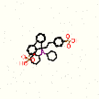 O=S(=O)(O)c1ccc(CCC2(P(C3CCCCC3)C3CCCCC3)c3ccccc3-c3ccc(S(=O)(=O)O)cc32)cc1